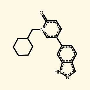 O=c1ccc(-c2ccc3cn[nH]c3c2)cn1CC1CCCCC1